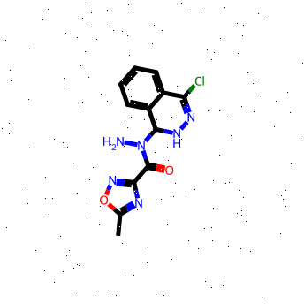 Cc1nc(C(=O)N(N)C2NN=C(Cl)c3ccccc32)no1